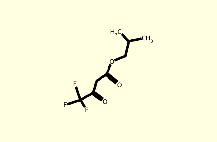 CC(C)COC(=O)CC(=O)C(F)(F)F